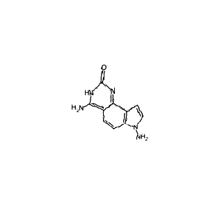 Nc1[nH]c(=O)nc2c1ccc1c2ccn1N